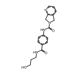 O=C(NCCCO)c1ccc(NC(=O)N2Cc3cccnc3C2)cc1